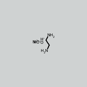 NCCN.[Ni+2].[OH-].[OH-]